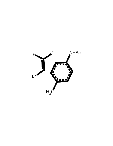 CC(=O)Nc1ccc(C)cc1.FC(F)=CBr